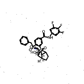 O=C(Nc1cc(F)c(F)c(F)c1)c1ccc(Cl)c(S(=O)(=O)[C@H]2C3CC[C@H]2C[C@](O)(/C=[N+](\[O-])Cc2ccccc2)C3)c1